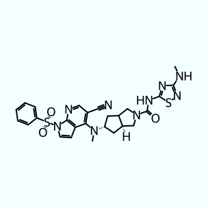 CNc1nsc(NC(=O)N2CC3C[C@@H](N(C)c4c(C#N)cnc5c4ccn5S(=O)(=O)c4ccccc4)C[C@@H]3C2)n1